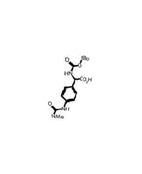 CNC(=O)Nc1ccc(C(NC(=O)OC(C)(C)C)C(=O)O)cc1